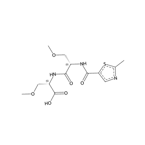 COC[C@H](NC(=O)[C@H](COC)NC(=O)c1cnc(C)s1)C(=O)O